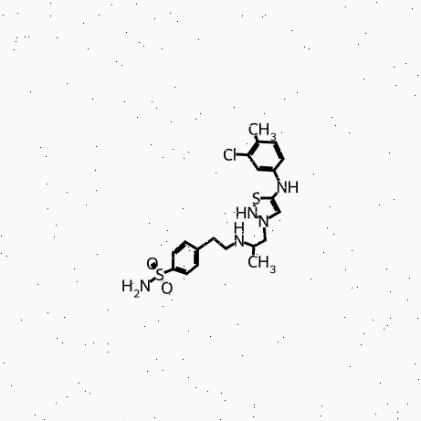 Cc1ccc(NC2=CN(CC(C)NCCc3ccc(S(N)(=O)=O)cc3)NS2)cc1Cl